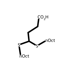 CCCCCCCCSC(CCC(=O)O)SCCCCCCCC